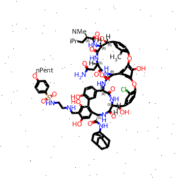 CCCCCOc1ccc(S(=O)(=O)NCCNCc2c(O)cc3c(c2O)-c2cc(ccc2O)[C@H]2NC(=O)[C@@H]4NC(=O)[C@H](CC(N)=O)NC(=O)[C@H](NC(=O)[C@@H](CC(C)C)NC)[C@H](O)c5ccc(c(C)c5)Oc5cc4cc(c5O)Oc4ccc(cc4Cl)[C@@H](O)[C@H](NC2=O)C(=O)N[C@@H]3C(=O)NC2C3CC4CC(C3)CC2C4)cc1